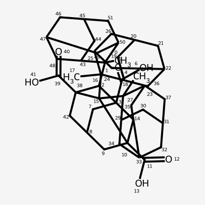 CC1(C2C3(C(=O)O)CC4CC(C(=O)O)(C3)C(C3(C)C5CC6CC(C5)CC3C6)(C3(C)C5CC6CC(C5)CC3C6)C2(C(=O)O)C4)C2CC3CC(C2)CC1C3